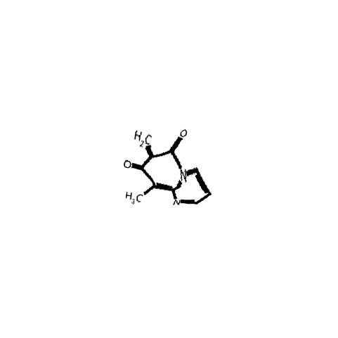 C=C1C(=O)C(C)=C2N=CC=CN2C1=O